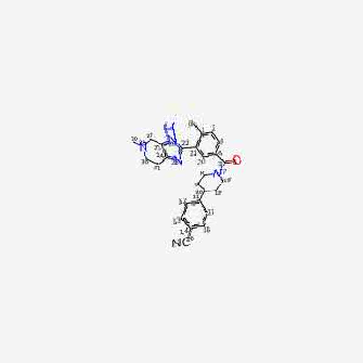 Cc1ccc(C(=O)N2CCC(c3ccc(C#N)cc3)CC2)cc1-c1nc2c([nH]1)CN(C)CC2